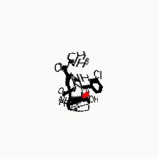 CNC(=O)C1=CC(C(N)=O)(C2[C@H]3COC[C@@H]23)N([C@@H](CO)c2cccc(Cl)c2)N1